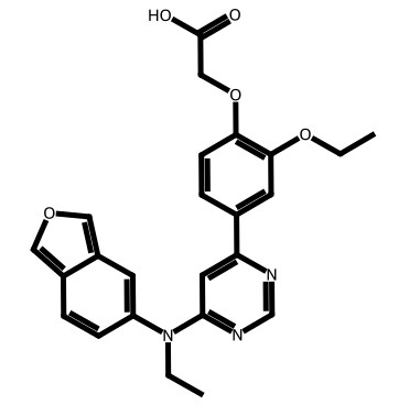 CCOc1cc(-c2cc(N(CC)c3ccc4cocc4c3)ncn2)ccc1OCC(=O)O